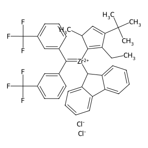 CCC1=[C]([Zr+2](=[C](c2cccc(C(F)(F)F)c2)c2cccc(C(F)(F)F)c2)[CH]2c3ccccc3-c3ccccc32)C(C)C=C1C(C)(C)C.[Cl-].[Cl-]